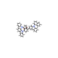 c1ccc(-n2c3ccccc3c3ccc4c5ccccc5n(-c5ccc(-c6ccc7c(c6)c6ccccc6n7-c6cccc7ccccc67)cc5)c4c32)cc1